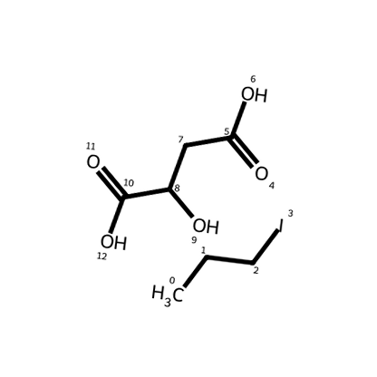 CCCI.O=C(O)CC(O)C(=O)O